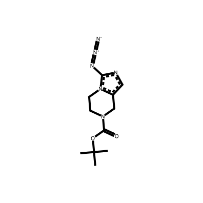 CC(C)(C)OC(=O)N1CCn2c(cnc2N=[N+]=[N-])C1